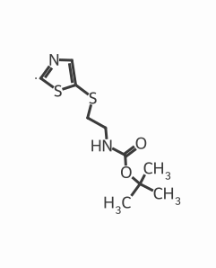 CC(C)(C)OC(=O)NCCSc1cn[c]s1